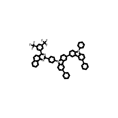 FC(F)(F)c1cc(-c2nc(-c3ccc(-n4c5ccc(-c6ccccc6)cc5c5cc(-c6ccc7c(c6)c6cc(-c8ccccc8)ccc6n7-c6ccccc6)ccc54)cc3)nc3c2ccc2ccccc23)cc(C(F)(F)F)c1